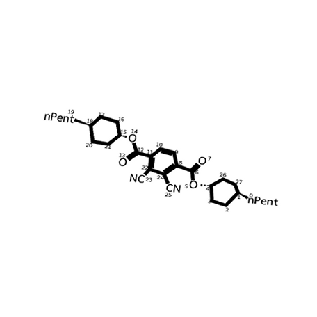 CCCCC[C@H]1CC[C@H](OC(=O)c2ccc(C(=O)O[C@H]3CC[C@H](CCCCC)CC3)c(C#N)c2C#N)CC1